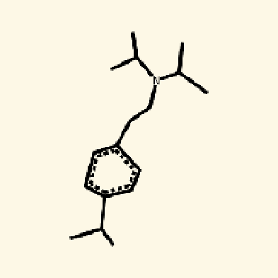 CC(C)c1ccc(CCN(C(C)C)C(C)C)cc1